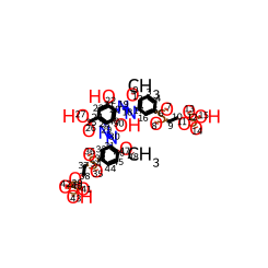 COc1ccc(S(=O)(=O)CCOS(=O)(=O)O)cc1N=Nc1c(O)cc(C(=O)O)c(N=Nc2cc(S(=O)(=O)CCOS(=O)(=O)O)ccc2OC)c1O